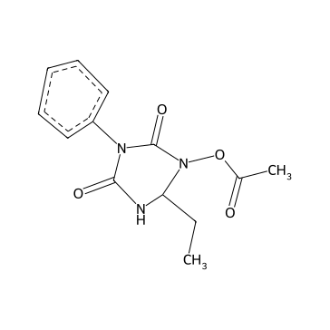 CCC1NC(=O)N(c2ccccc2)C(=O)N1OC(C)=O